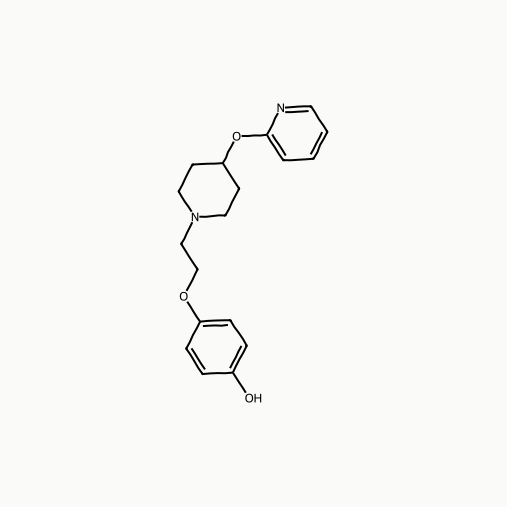 Oc1ccc(OCCN2CCC(Oc3ccccn3)CC2)cc1